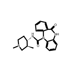 C[C@H]1CN(C)CC[C@@H]1NC(=O)N1c2ccccc2NC(=O)c2ccccc21